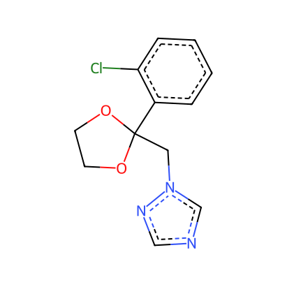 Clc1ccccc1C1(Cn2cncn2)OCCO1